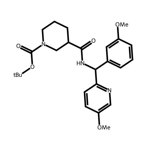 COc1ccc(C(NC(=O)C2CCCN(C(=O)OC(C)(C)C)C2)c2cccc(OC)c2)nc1